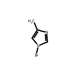 Cc1cn(Br)cn1